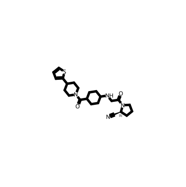 N#C[C@@H]1CCCN1C(=O)CNC1CCC(C(=O)N2CCC(c3cccs3)CC2)CC1